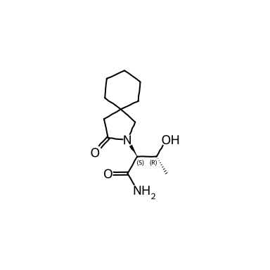 C[C@@H](O)[C@@H](C(N)=O)N1CC2(CCCCC2)CC1=O